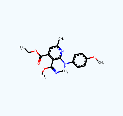 CCOC(=O)c1cc(C)nc(Nc2ccc(OC)cc2)c1/C(=N\C)OC